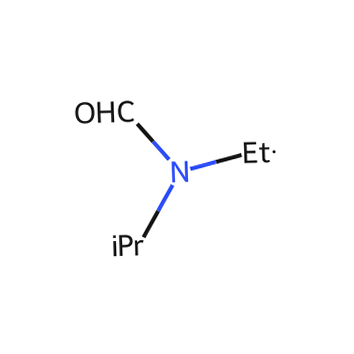 C[CH]N(C=O)C(C)C